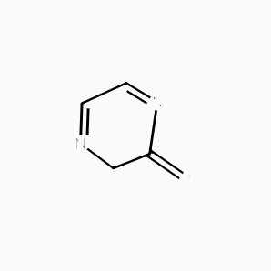 O=C1[C]N=CC=N1